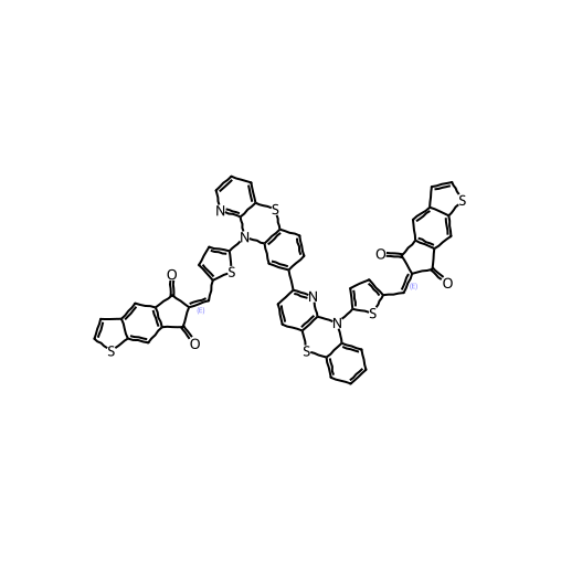 O=C1/C(=C\c2ccc(N3c4cc(-c5ccc6c(n5)N(c5ccc(/C=C7\C(=O)c8cc9ccsc9cc8C7=O)s5)c5ccccc5S6)ccc4Sc4cccnc43)s2)C(=O)c2cc3sccc3cc21